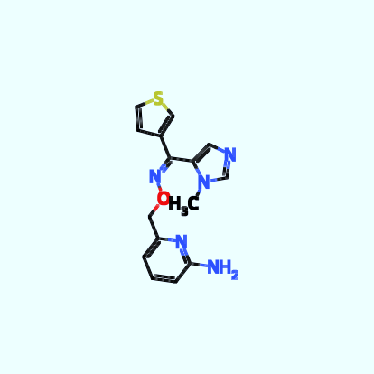 Cn1cncc1C(=NOCc1cccc(N)n1)c1ccsc1